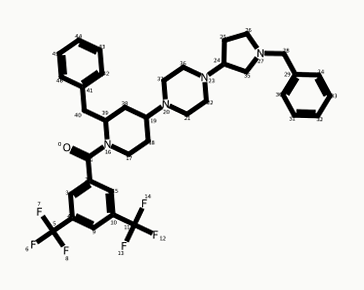 O=C(c1cc(C(F)(F)F)cc(C(F)(F)F)c1)N1CCC(N2CCN(C3CCN(Cc4ccccc4)C3)CC2)CC1Cc1ccccc1